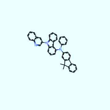 CC1(C)c2ccccc2-c2ccc(N(c3ccccc3)c3cccc4c3c3ccccc3n4-c3cnc4ccccc4c3)cc21